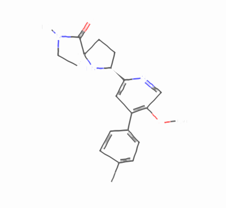 CN1CC[C@@]2(CC[C@@H](c3cc(-c4ccc(C(F)(F)F)cc4)c(OC(C)(C)C)cn3)N2)C1=O